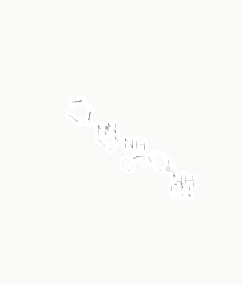 N#CN[C@H]1CC[C@H](C(=O)Nc2ccn(-c3ccccc3)n2)C1